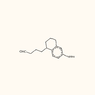 CCCCCCc1ccc2c(c1)CCCC2CCC[C]=O